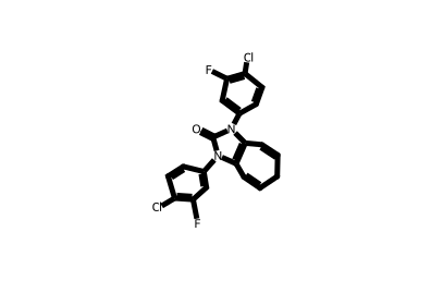 O=c1n(-c2ccc(Cl)c(F)c2)c2c(n1-c1ccc(Cl)c(F)c1)C=CCC=C2